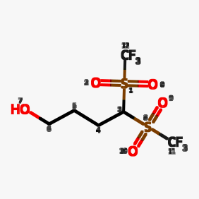 O=S(=O)(C(CCCO)S(=O)(=O)C(F)(F)F)C(F)(F)F